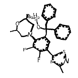 Cc1nsc(-c2cc(C(O[SiH2]C(C)(C)C)(c3ccccc3)c3ccccc3)c(N3CC(C)OC(C)C3)c(F)c2F)n1